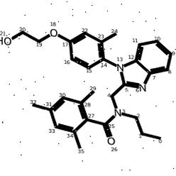 CCCN(Cc1nc2ccccc2n1-c1ccc(OCCO)cc1C)C(=O)c1c(C)cc(C)cc1C